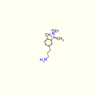 C=C(NCC)c1cc(CCCN)ccc1C